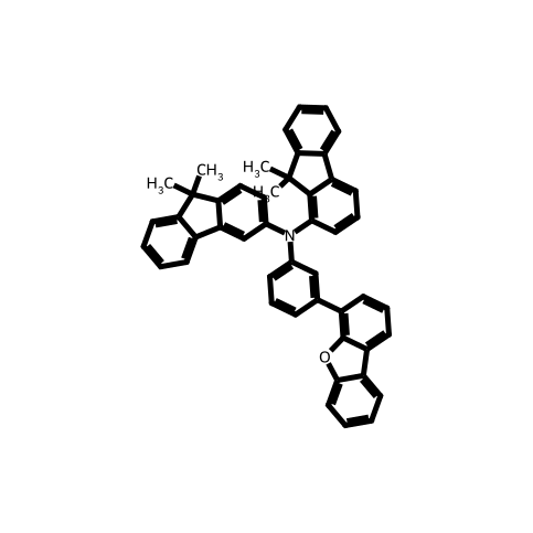 CC1(C)c2ccccc2-c2cc(N(c3cccc(-c4cccc5c4oc4ccccc45)c3)c3cccc4c3C(C)(C)c3ccccc3-4)ccc21